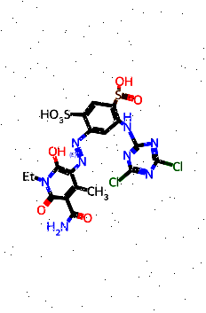 CCn1c(O)c(/N=N/c2cc(Nc3nc(Cl)nc(Cl)n3)c(S(=O)O)cc2S(=O)(=O)O)c(C)c(C(N)=O)c1=O